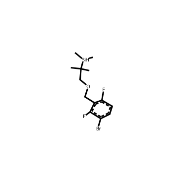 C[SiH](C)C(C)(C)COCc1c(F)ccc(Br)c1F